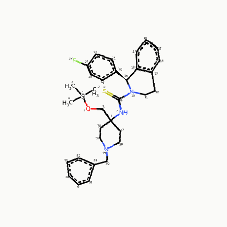 C[Si](C)(C)OCC1(NC(=S)N2CCc3ccccc3[C@@H]2c2ccc(F)cc2)CCN(Cc2ccccc2)CC1